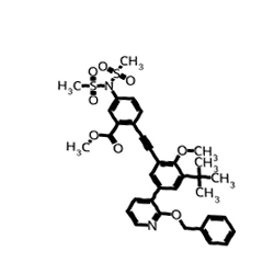 COC(=O)c1cc(N(S(C)(=O)=O)S(C)(=O)=O)ccc1C#Cc1cc(-c2cccnc2OCc2ccccc2)cc(C(C)(C)C)c1OC